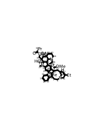 CCC1=C[C@@H]2CN(CCc3c([nH]c4ccccc34)[C@@](C(=O)OC)(c3cc4c(cc3OC)N(C)[C@H]3C(O)(COC(=O)C(C)C)[C@H](OC(C)=O)[C@]5(CC)C=CCN6CC[C@]43C65)C2)C1